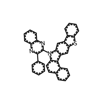 c1ccc(-c2nc3ccccc3nc2-n2c3cc4c(cc3c3c5ccccc5ccc32)sc2ccccc24)cc1